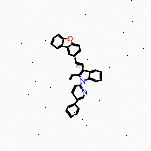 C=Cc1c(/C=C/c2ccc3oc4ccccc4c3c2)c2ccccc2n1-c1ccc(-c2ccccc2)cn1